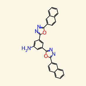 Nc1cc(-c2nnc(-c3ccc4ccccc4c3)o2)cc(-c2nnc(-c3ccc4ccccc4c3)o2)c1